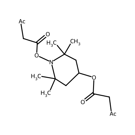 CC(=O)CC(=O)OC1CC(C)(C)N(OC(=O)CC(C)=O)C(C)(C)C1